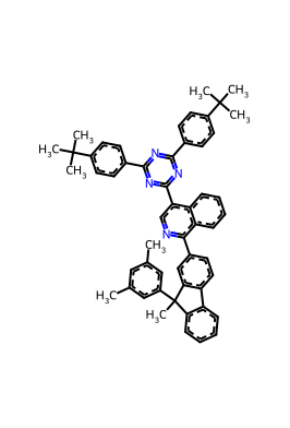 Cc1cc(C)cc(C2(C)c3ccccc3-c3ccc(-c4ncc(-c5nc(-c6ccc(C(C)(C)C)cc6)nc(-c6ccc(C(C)(C)C)cc6)n5)c5ccccc45)cc32)c1